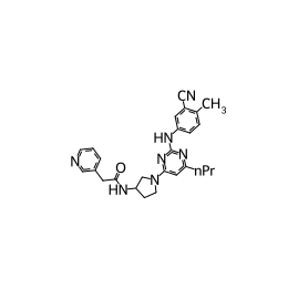 CCCc1cc(N2CCC(NC(=O)Cc3cccnc3)C2)nc(Nc2ccc(C)c(C#N)c2)n1